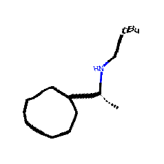 C[C@@H](NCC(C)(C)C)C1CCCCC1